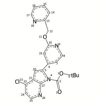 CC(C)(C)OC(=O)n1c(-c2ccnc(OCc3ccccn3)c2)cc2c(Cl)ccnc21